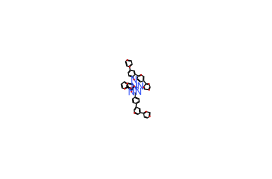 c1ccc(-c2cccc(-c3ccc(-c4nc(-c5ccccc5)nc(-n5c6ccccc6c6ccc7c8cc(-c9ccccc9)ccc8n(-c8ccccc8)c7c65)n4)cc3)c2)cc1